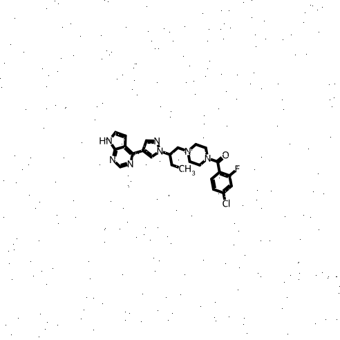 CCC(CN1CCN(C(=O)c2ccc(Cl)cc2F)CC1)n1cc(-c2ncnc3[nH]ccc23)cn1